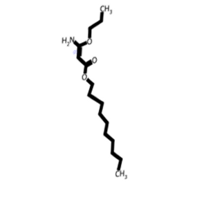 CCCCCCCCCCOC(=O)/C=C(/N)OCCC